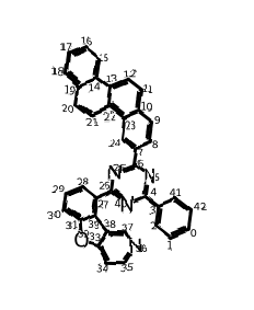 c1ccc(-c2nc(-c3ccc4ccc5c6ccccc6ccc5c4c3)nc(-c3cccc4oc5ccncc5c34)n2)cc1